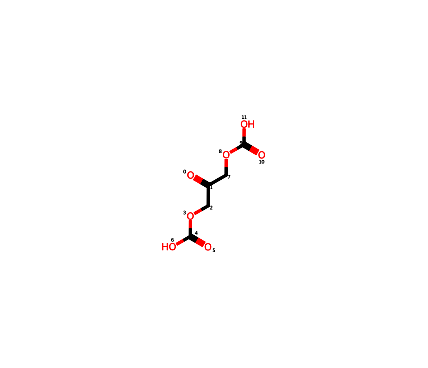 O=C(COC(=O)O)COC(=O)O